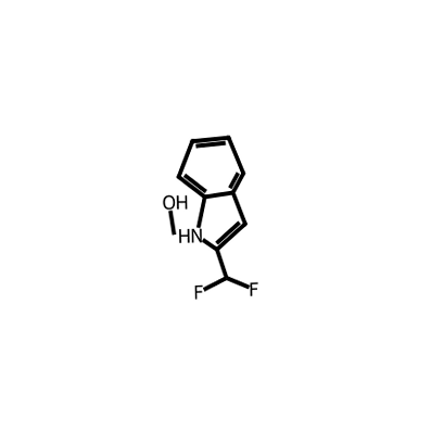 CO.FC(F)c1cc2ccccc2[nH]1